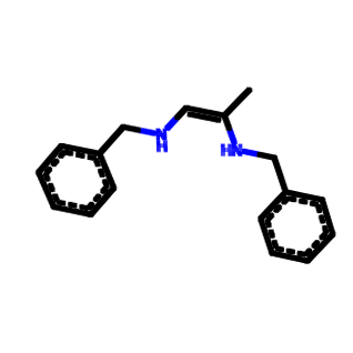 CC(=CNCc1ccccc1)NCc1ccccc1